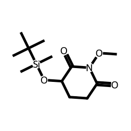 CON1C(=O)CCC(O[Si](C)(C)C(C)(C)C)C1=O